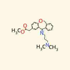 COC(=O)Cc1ccc2c(c1)/C(=N/CCCN(C)C)c1ccccc1CO2